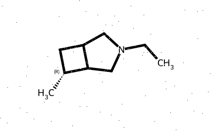 CCN1CC2C[C@@H](C)C2C1